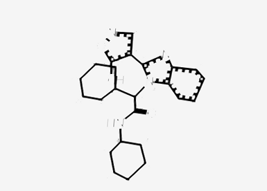 Cc1oncc1-c1nc2ccccc2n1C(C(=O)NC1CCCCC1)C1CCCCC1